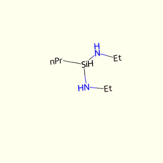 CCC[SiH](NCC)NCC